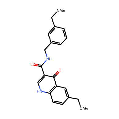 CNCc1cccc(CNC(=O)c2c[nH]c3ccc(COC)cc3c2=O)c1